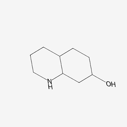 OC1CCC2CCCNC2C1